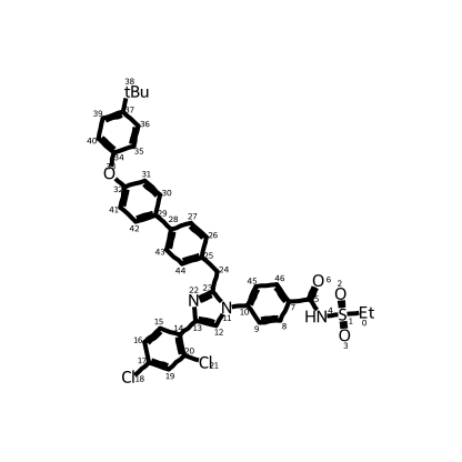 CCS(=O)(=O)NC(=O)c1ccc(-n2cc(-c3ccc(Cl)cc3Cl)nc2Cc2ccc(-c3ccc(Oc4ccc(C(C)(C)C)cc4)cc3)cc2)cc1